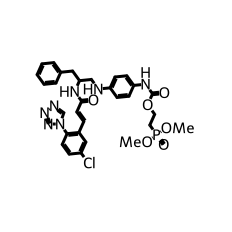 COP(=O)(CCOC(=O)Nc1ccc(NCC(Cc2ccccc2)NC(=O)C=Cc2cc(Cl)ccc2-n2cnnn2)cc1)OC